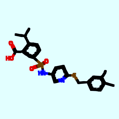 Cc1ccc(CSc2ccc(NS(=O)(=O)c3ccc(C(C)C)c(C(=O)O)c3)cn2)cc1C